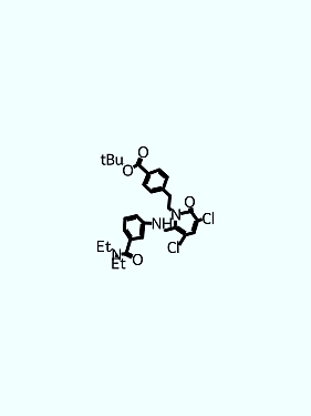 CCN(CC)C(=O)c1cccc(NCc2c(Cl)cc(Cl)c(=O)n2CCc2ccc(C(=O)OC(C)(C)C)cc2)c1